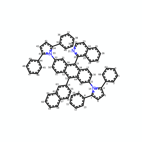 c1ccc(-c2ccc(-c3ccccc3)n2-c2ccc3c(-c4nccc5ccccc45)c4cc(-n5c(-c6ccccc6)ccc5-c5ccccc5)ccc4c(-c4ccc5ccccc5c4)c3c2)cc1